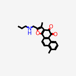 CCCNCc1oc2c(c1C)C(=O)C(=O)c1c-2ccc2c(C)cccc12